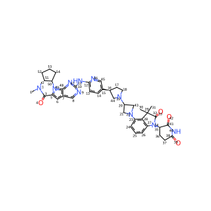 CN(C)C(=O)c1cc2cnc(Nc3ccc([C@H]4CCN(C5CN(c6cccc7c6C(C)(C)C(=O)N7[C@@H]6CCC(=O)NC6=O)C5)C4)cn3)nc2n1C1CCCC1